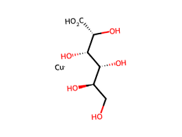 O=C(O)[C@H](O)[C@@H](O)[C@H](O)[C@H](O)CO.[Cu]